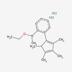 CC[O][Ti]([CH3])[c]1ccccc1C1=C(C)C(C)=C(C)C1C.Cl.Cl